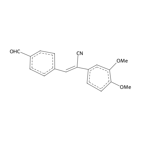 COc1ccc(/C(C#N)=C/c2ccc(C=O)cc2)cc1OC